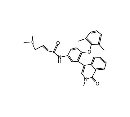 Cc1cccc(C)c1Oc1ccc(NC(=O)C=CCN(C)C)cc1-c1cn(C)c(=O)c2ccccc12